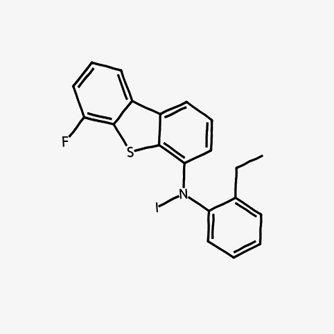 CCc1ccccc1N(I)c1cccc2c1sc1c(F)cccc12